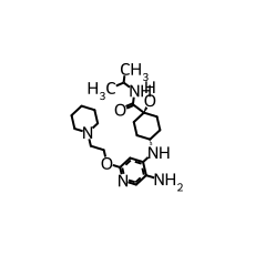 CC(C)NC(=O)[C@]1(O)CC[C@H](Nc2cc(OCCN3CCCCC3)ncc2N)CC1